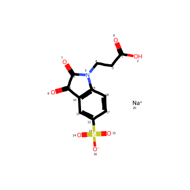 O=C(O)CCN1C(=O)C(=O)c2cc(S(=O)(=O)[O-])ccc21.[Na+]